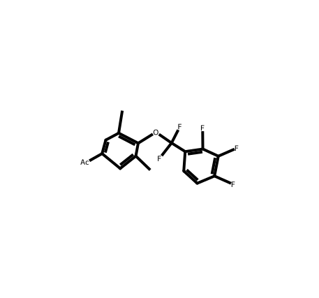 CC(=O)c1cc(C)c(OC(F)(F)c2ccc(F)c(F)c2F)c(C)c1